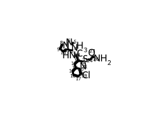 C[C@H](Nc1ncnn2cccc12)c1cc2cccc(Cl)c2nc1SCC(N)=O